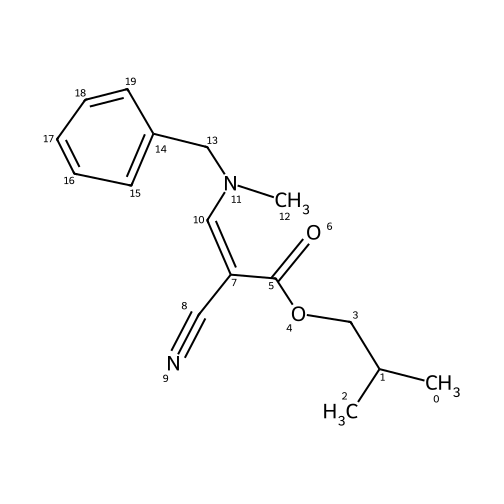 CC(C)COC(=O)C(C#N)=CN(C)Cc1ccccc1